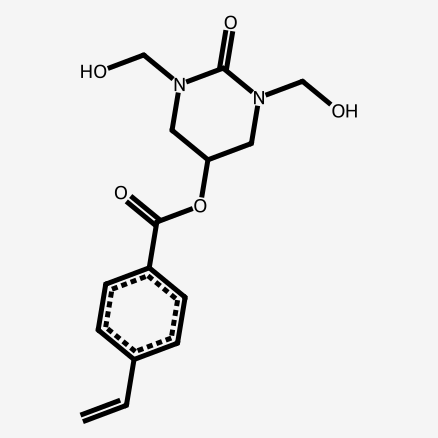 C=Cc1ccc(C(=O)OC2CN(CO)C(=O)N(CO)C2)cc1